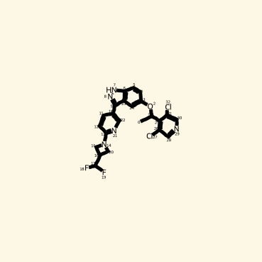 CC(Oc1ccc2[nH]nc(-c3ccc(N4CC(C(F)F)C4)nc3)c2c1)c1c(Cl)cncc1Cl